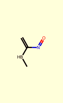 C=C(BC)N=O